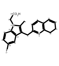 Cc1c(Cc2ccc3c(n2)CCC=C3)c2cc(F)ccc2n1CC(=O)O